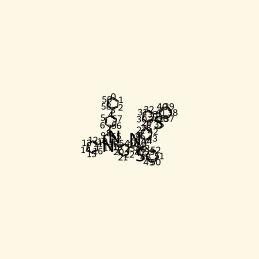 c1ccc(-c2ccc(-c3cc(-c4ccccc4)nc(-c4cccc(-c5nc6cc(-c7cccc8c7sc7ccccc78)ccc6c6c5sc5ccccc56)c4)n3)cc2)cc1